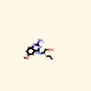 CCC[C@@H](CO)Nc1nc(N)nc2ccc(OC)cc12